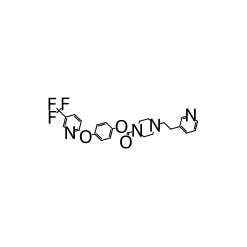 O=C(Oc1ccc(Oc2ccc(C(F)(F)F)cn2)cc1)N1CCN(CCc2cccnc2)CC1